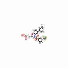 O=C(O)CC[C@H]1CN(S(=O)(=O)c2cccc(C(F)(F)F)c2)c2cc(-c3cccc(Cl)c3)ccc2O1